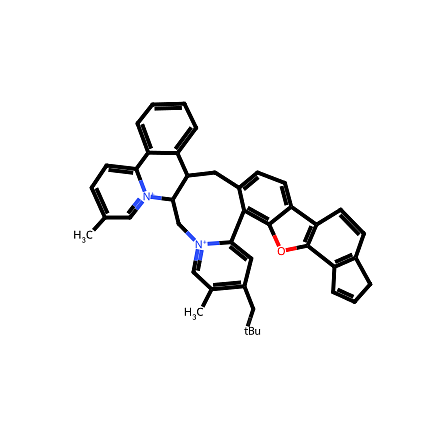 Cc1ccc2[n+](c1)C1C[n+]3cc(C)c(CC(C)(C)C)cc3-c3c(ccc4c3oc3c5c(ccc34)CC=C5)CC1c1ccccc1-2